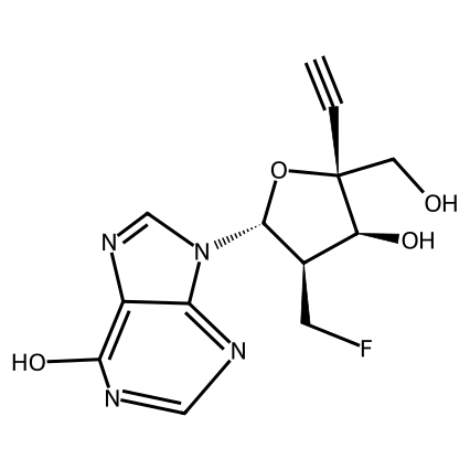 C#C[C@]1(CO)O[C@@H](n2cnc3c(O)ncnc32)[C@H](CF)[C@@H]1O